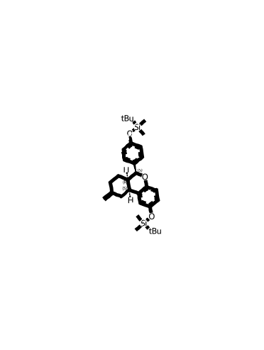 C=C1CC[C@@H]2[C@H](C1)c1cc(O[Si](C)(C)C(C)(C)C)ccc1O[C@@H]2c1ccc(O[Si](C)(C)C(C)(C)C)cc1